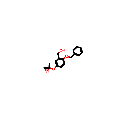 CC1(Oc2ccc(OCc3ccccc3)c(CO)c2)CO1